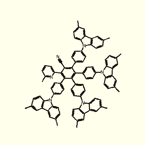 Cc1ccc2c(c1)c1cc(C)ccc1n2-c1ccc(-c2c(C#N)c(-c3cccc(C)n3)c(-c3ccc(-n4c5ccc(C)cc5c5cc(C)ccc54)cc3)c(-c3ccc(-n4c5ccc(C)cc5c5cc(C)ccc54)cc3)c2-c2ccc(-n3c4ccc(C)cc4c4cc(C)ccc43)cc2)cc1